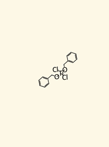 [Cl][Ti]([Cl])([O]Cc1ccccc1)[O]Cc1ccccc1